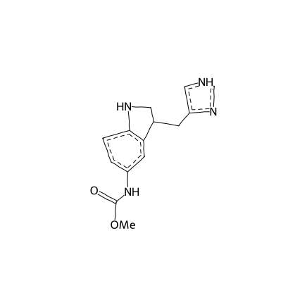 COC(=O)Nc1ccc2c(c1)C(Cc1c[nH]cn1)CN2